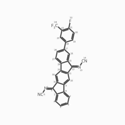 N#C/N=c1\c2ccccc2c2cc3/c(=N/C#N)c4cc(-c5ccc(F)c(C(F)(F)F)c5)ccc4c3cc12